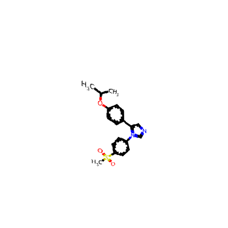 CC(C)Oc1ccc(-c2cncn2-c2ccc(S(C)(=O)=O)cc2)cc1